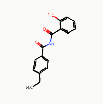 CCc1ccc(C(=O)NC(=O)c2ccccc2O)cc1